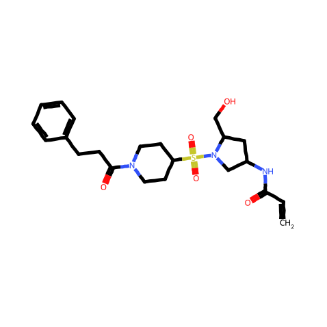 C=CC(=O)NC1CC(CO)N(S(=O)(=O)C2CCN(C(=O)CCc3ccccc3)CC2)C1